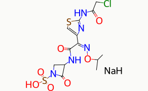 CC(C)ON=C(C(=O)NC1CN(S(=O)(=O)O)C1=O)c1csc(NC(=O)CCl)n1.[NaH]